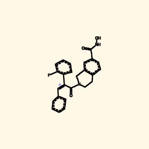 O=C(NO)c1ccc2c(c1)CN(C(=O)/C(=C\c1ccccc1)c1ccccc1F)CC2